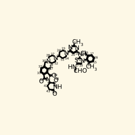 Cc1nc(NC2SC(NC=O)=CN2c2c(C)cccc2Cl)cc(N2CCC(N3CCN(Cc4ccc5c(c4F)C(=O)N(C4CCC(=O)NC4=O)C5=O)CC3)CC2)n1